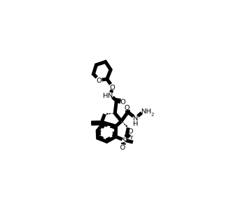 C=CC[C@H](C(=O)NOC1CCCCO1)[C@@](CC(C)C)(C(=O)NN)c1ccccc1S(C)(=O)=O